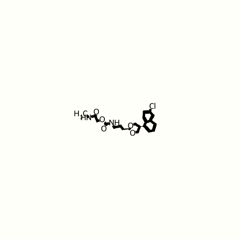 CNC(=O)COC(=O)NCCC[C@H]1OC[C@H](c2cccc3cc(Cl)ccc32)CO1